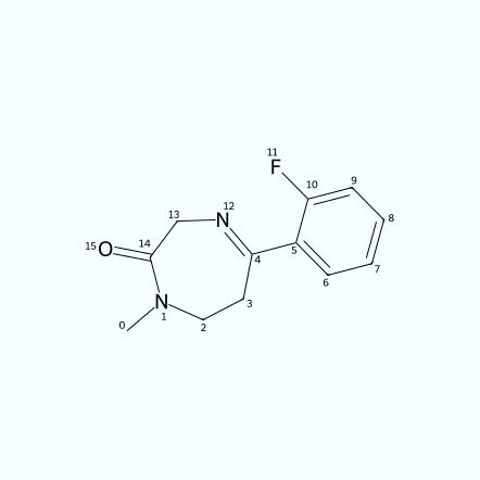 CN1CCC(c2ccccc2F)=NCC1=O